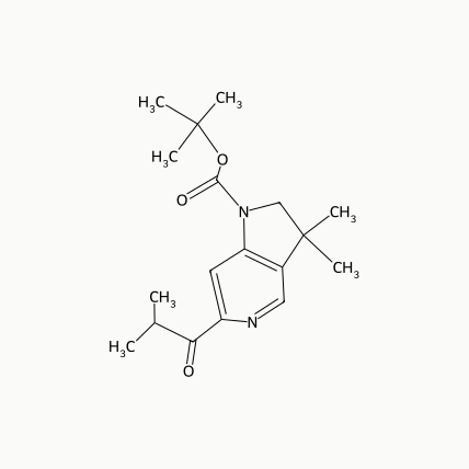 CC(C)C(=O)c1cc2c(cn1)C(C)(C)CN2C(=O)OC(C)(C)C